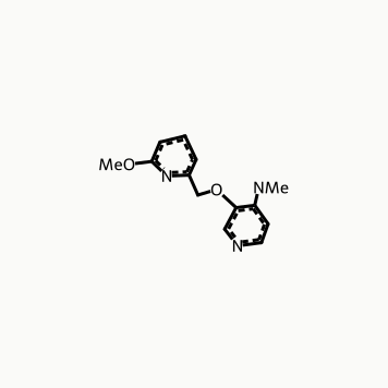 CNc1ccncc1OCc1cccc(OC)n1